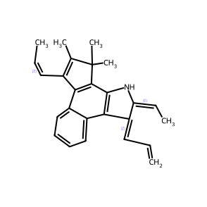 C=C/C=c1\c(=C/C)[nH]c2c3c(c4ccccc4c12)C(/C=C\C)=C(C)C3(C)C